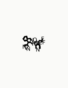 O=c1n(Cc2ncc3ccccc3c2-c2cncnc2)c2cnccc2n1CC(F)(F)F